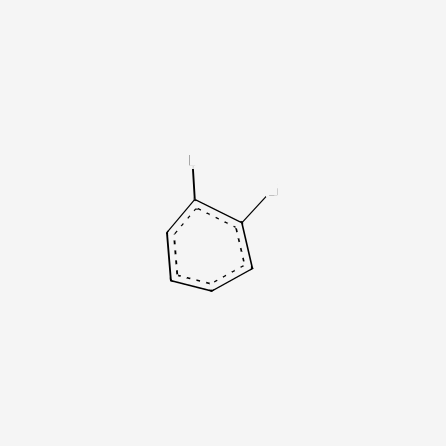 [Li][c]1ccccc1CC